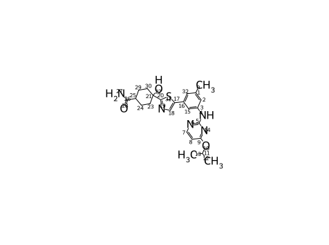 Cc1cc(Nc2nccc(OC(C)C)n2)cc(-c2cnc(C3(O)CCC(C(N)=O)CC3)s2)c1